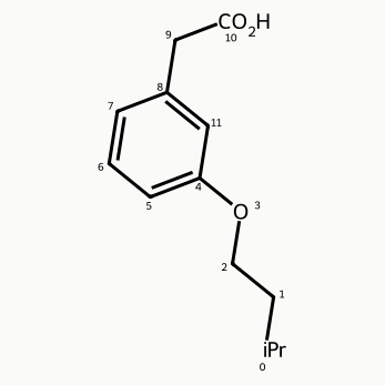 CC(C)CCOc1cccc(CC(=O)O)c1